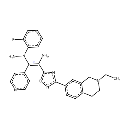 CCN1CCc2ccc(-c3noc(/C(N)=C(\c4ccncc4)N(N)c4ccccc4F)n3)cc2C1